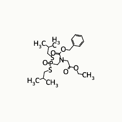 CCOC(=O)CN(CP(=O)(SCC(C)C)SCC(C)C)C(=O)OCc1ccccc1